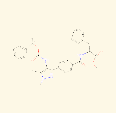 COC(=O)C(Cc1ccccc1)NC(=O)c1ccc(-c2nn(C)c(C)c2NC(=O)O[C@H](C)c2ccccc2)cc1